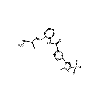 Cn1nc(C(F)(F)F)cc1-c1ccc(C(=O)Nc2ccccc2C=CC(=O)NO)s1